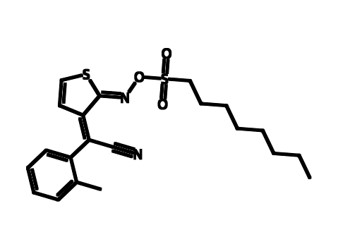 CCCCCCCCS(=O)(=O)ON=C1SC=CC1=C(C#N)c1ccccc1C